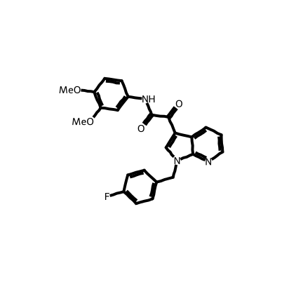 COc1ccc(NC(=O)C(=O)c2cn(Cc3ccc(F)cc3)c3ncccc23)cc1OC